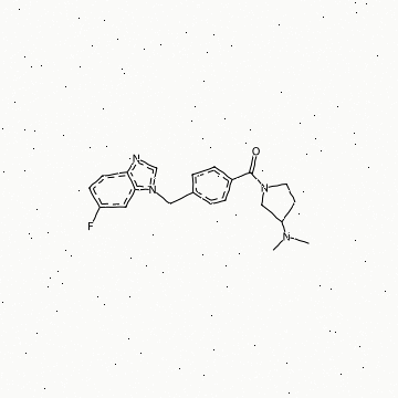 CN(C)C1CCN(C(=O)c2ccc(Cn3cnc4ccc(F)cc43)cc2)C1